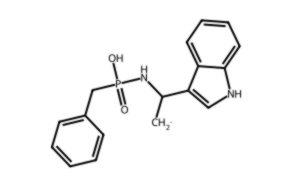 [CH2]C(NP(=O)(O)Cc1ccccc1)c1c[nH]c2ccccc12